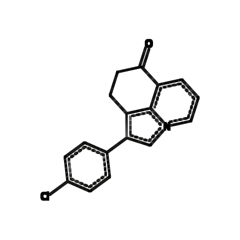 O=C1CCc2c(-c3ccc(Cl)cc3)cn3cccc1c23